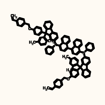 C=Cc1ccc(COc2ccc(C3(c4ccc(C)cc4C)c4ccccc4-c4ccc(N(c5ccccc5)c5ccc(-c6ccc(N(c7ccccc7)c7ccc8c(c7)C(c7ccc(OCc9ccc(C=C)cc9)cc7)(c7cc(C)ccc7C)c7ccccc7-8)c7ccccc67)c6ccccc56)cc43)cc2)cc1